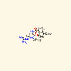 CCCC(C)NC(=O)[C@H](CCCNC(=N)N)NS(=O)(=O)c1cccc2c(OC)cccc12